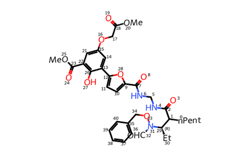 CCCCCC(C(=O)NCNC(=O)c1ccc(-c2cc(OCC(=O)OC)cc(C(=O)OC)c2O)o1)[C@@H](CC)N(C=O)OCc1ccccc1